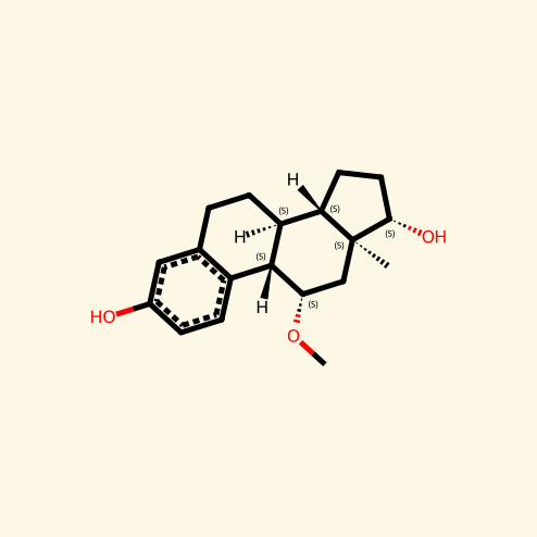 CO[C@H]1C[C@]2(C)[C@@H](O)CC[C@H]2[C@@H]2CCc3cc(O)ccc3[C@H]21